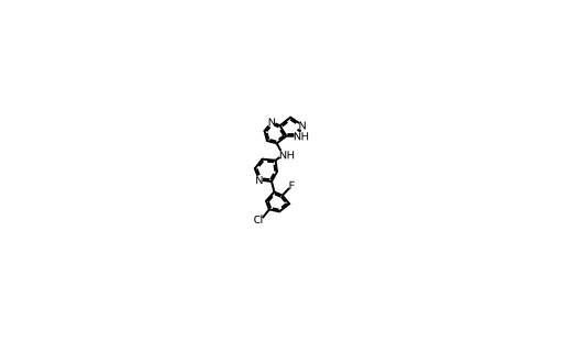 Fc1ccc(Cl)cc1-c1cc(Nc2ccnc3cn[nH]c23)ccn1